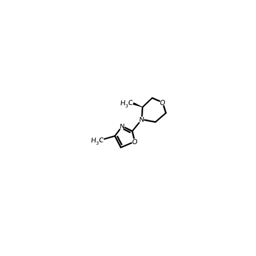 Cc1coc(N2CCOC[C@@H]2C)n1